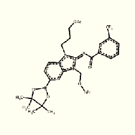 CCCOCn1/c(=N\C(=O)c2cccc(C(F)(F)F)c2)n(CCCOC(C)=O)c2ccc(B3OC(C)(C)C(C)(C)O3)cc21